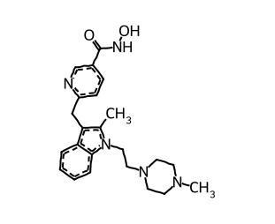 Cc1c(Cc2ccc(C(=O)NO)cn2)c2ccccc2n1CCN1CCN(C)CC1